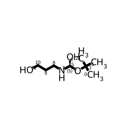 CC(C)(C)O[C@H](O)NCCCO